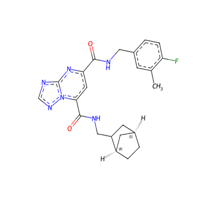 Cc1cc(CNC(=O)c2cc(C(=O)NCC3C[C@H]4CC[C@@H]3C4)n3ncnc3n2)ccc1F